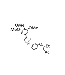 CCC(CC(C)=O)Oc1cccc([C@@H]2CC[C@@H](c3cc(OC)c(OC)c(OC)c3)O2)c1